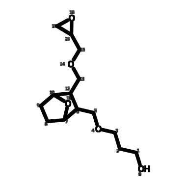 OCCCOCC1C2CCC(O2)C1COCC1CO1